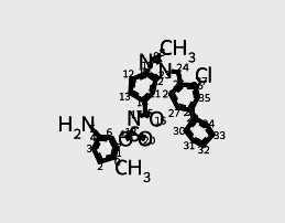 Cc1ccc(N)cc1.Cc1nc2ccc(C(=O)N=S(=O)=O)cc2n1Cc1ccc(-c2ccccc2)cc1Cl